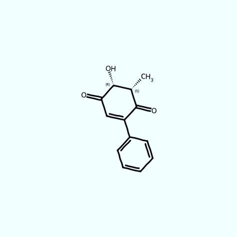 C[C@@H]1C(=O)C(c2ccccc2)=CC(=O)[C@@H]1O